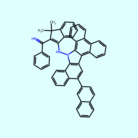 CC1(C)C(C(=N)c2ccccc2)=C(Nn2c3c4ccccc4c(-c4ccc5ccccc5c4)cc3c3c4ccccc4c4ccccc4c32)c2ccccc21